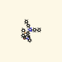 c1ccc(-c2ccc(-c3nc(-c4ccc(-c5ccccc5)cc4)nc(-c4ccc5c(c4)[P@](c4ccccc4)c4ccccc4C54c5ccccc5-n5c6ccccc6c6cccc4c65)n3)cc2)cc1